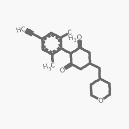 C#Cc1cc(C)c(C2C(=O)CC(CC3CCOCC3)CC2=O)c(C)c1